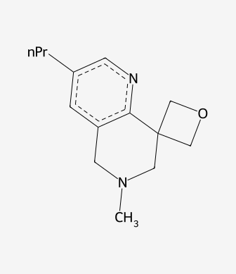 CCCc1cnc2c(c1)CN(C)CC21COC1